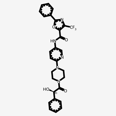 O=C(Nc1ccc(N2CCN(C(=O)[C@H](O)c3ccccc3)CC2)nc1)c1oc(-c2ccccc2)nc1C(F)(F)F